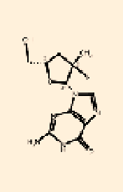 C[C@]1(F)C[C@@H](CO)O[C@H]1n1cnc2c(=O)[nH]c(N)nc21